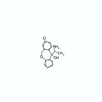 CC(N)C1(O)c2ccc(Cl)cc2COc2ccccc21